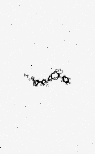 CN1Cc2ccc(Nc3ccc(-c4cnn(C)c4)cn3)nc2O[C@H](c2ccccc2)C1